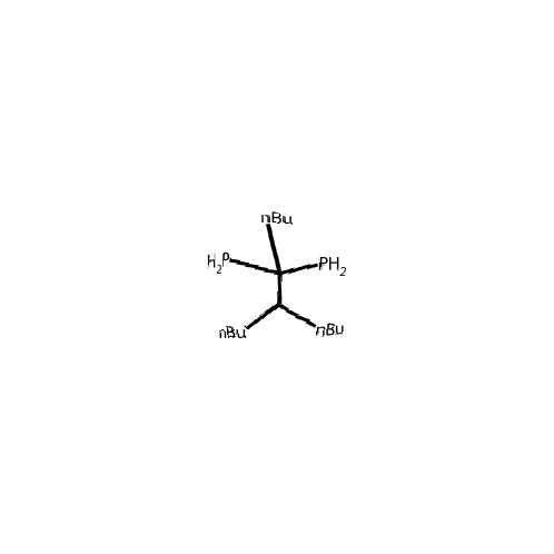 CCCCC(CCCC)C(P)(P)CCCC